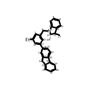 CCc1cc(CN2c3ccccc3C(C)[C@@H]2C)cc(-c2ccc3c(c2)Cc2ccccc2-3)c1